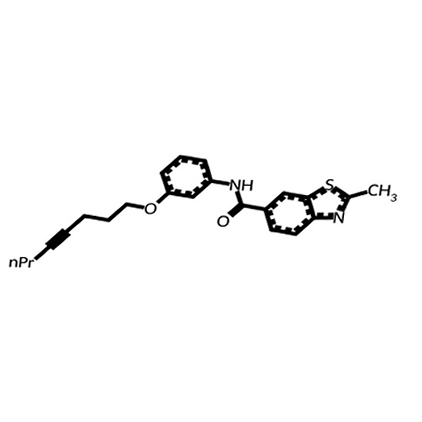 CCCC#CCCCOc1cccc(NC(=O)c2ccc3nc(C)sc3c2)c1